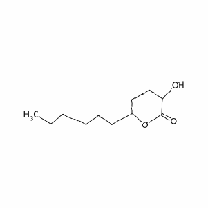 CCCCCCC1CCC(O)C(=O)O1